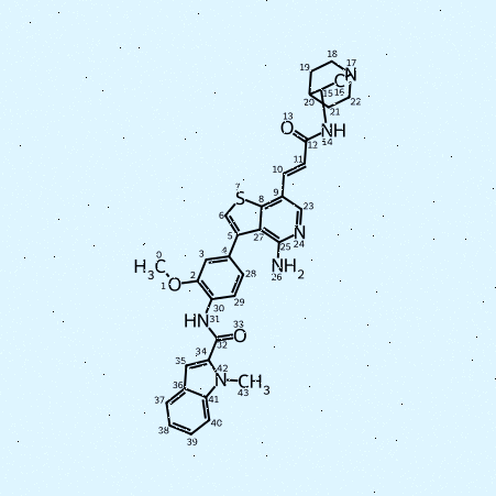 COc1cc(-c2csc3c(C=CC(=O)NC4CN5CCC4CC5)cnc(N)c23)ccc1NC(=O)c1cc2ccccc2n1C